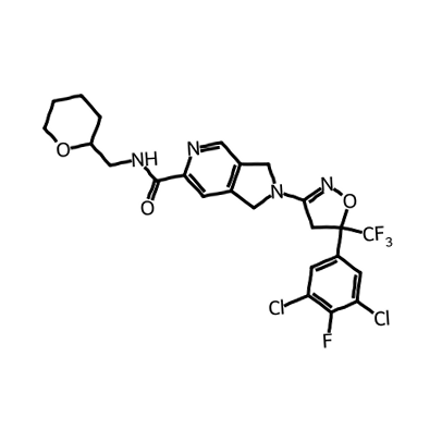 O=C(NCC1CCCCO1)c1cc2c(cn1)CN(C1=NOC(c3cc(Cl)c(F)c(Cl)c3)(C(F)(F)F)C1)C2